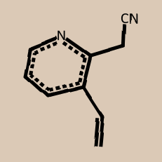 C=Cc1cccnc1CC#N